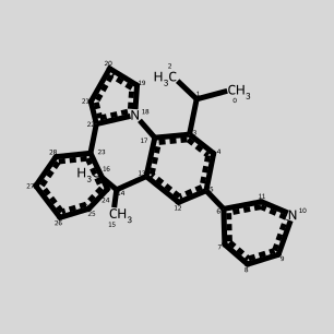 CC(C)c1cc(-c2cccnc2)cc(C(C)C)c1-n1cccc1-c1ccccc1